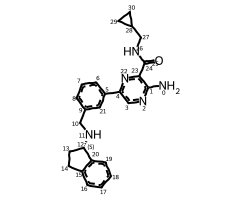 Nc1ncc(-c2cccc(CN[C@H]3CCc4ccccc43)c2)nc1C(=O)NCC1CC1